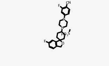 CS(=O)(=O)O.N#Cc1ccc(N2CCN(C3CCC4(CC3)OCc3ccc(F)cc34)CC2)cc1F